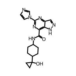 O=C(NC1CCC(C2(O)CC2)CC1)c1nc(-n2ccnc2)nc2cn[nH]c12